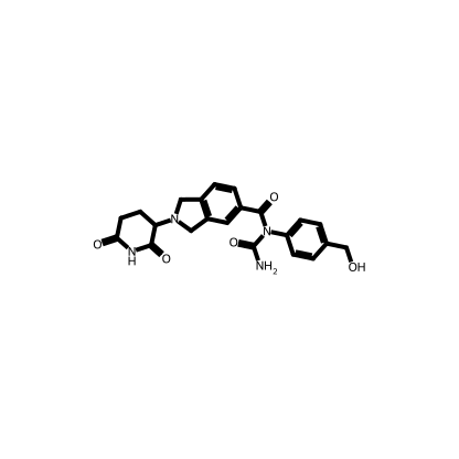 NC(=O)N(C(=O)c1ccc2c(c1)CN(C1CCC(=O)NC1=O)C2)c1ccc(CO)cc1